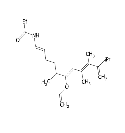 C=CO/C(=C\C(C)=C(/C)C(=C)C(C)C)C(C)CC/C=C/NC(=O)CC